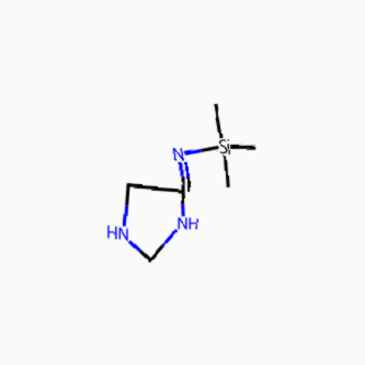 C[Si](C)(C)/N=C1/CNCN1